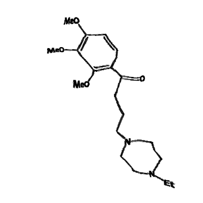 CCN1CCN(CCCC(=O)c2ccc(OC)c(OC)c2OC)CC1